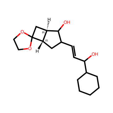 OC(C=CC1C[C@H]2[C@@H](CC23OCCO3)C1O)C1CCCCC1